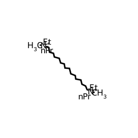 CCC[N+](C)(CC)CCCCCCCCCCCCCCCC[N+](C)(CC)CCC